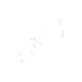 CN(c1ncccc1Cn1ccc2cnc(Nc3ccc(OCCC4CNCCN4)cc3)nc21)S(C)(=O)=O